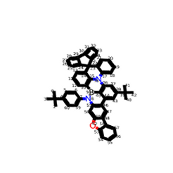 CC(C)(C)c1ccc(N2B3c4cccc5c4N(c4ccccc4C54c5ccccc5-c5ccccc54)c4cc(C(C)(C)C)cc(c43)-c3cc4c(cc32)oc2ccccc24)cc1